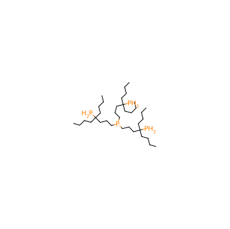 CCCCC(P)(CCCC)CCCP(CCCC(P)(CCCC)CCCC)CCCC(P)(CCCC)CCCC